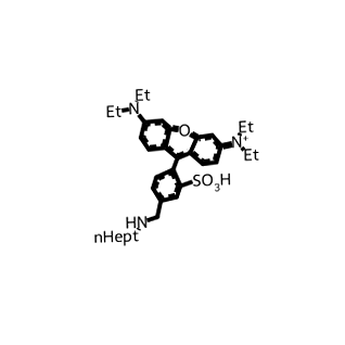 CCCCCCCNCc1ccc(-c2c3ccc(=[N+](CC)CC)cc-3oc3cc(N(CC)CC)ccc23)c(S(=O)(=O)O)c1